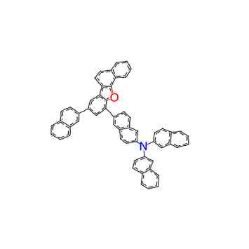 c1ccc2cc(-c3cc(-c4ccc5cc(N(c6ccc7ccccc7c6)c6ccc7ccccc7c6)ccc5c4)c4oc5c6ccccc6ccc5c4c3)ccc2c1